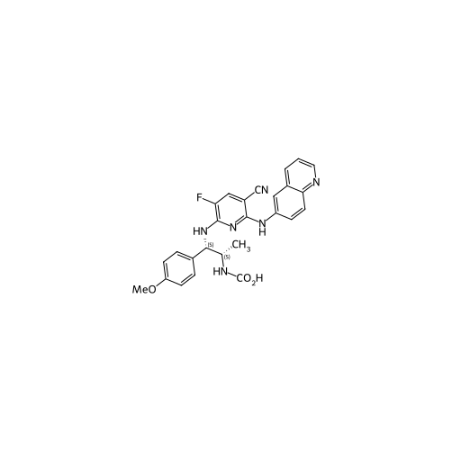 COc1ccc([C@H](Nc2nc(Nc3ccc4ncccc4c3)c(C#N)cc2F)[C@H](C)NC(=O)O)cc1